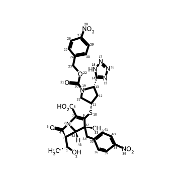 C[C@@H](O)[C@H]1C(=O)N2C(C(=O)O)=C(S[C@H]3C[C@@H](c4nnn[nH]4)N(C(=O)OCc4ccc([N+](=O)[O-])cc4)C3)[C@](C)(Cc3ccc([N+](=O)[O-])cc3)[C@H]12